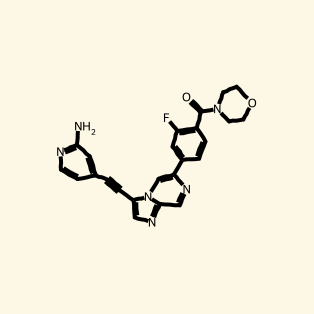 Nc1cc(C#Cc2cnc3cnc(-c4ccc(C(=O)N5CCOCC5)c(F)c4)cn23)ccn1